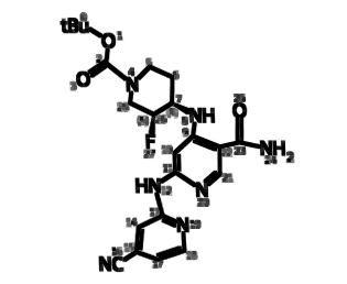 CC(C)(C)OC(=O)N1CC[C@@H](Nc2cc(Nc3cc(C#N)ccn3)ncc2C(N)=O)[C@@H](F)C1